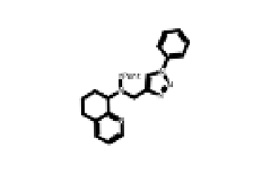 CCCCCN(Cc1cn(-c2ccccc2)nn1)C1CCCc2cccnc21